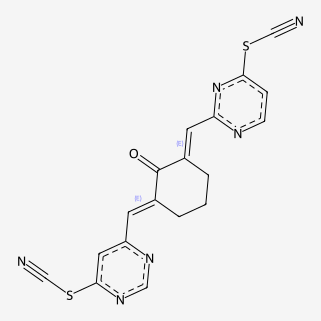 N#CSc1cc(/C=C2\CCC/C(=C\c3nccc(SC#N)n3)C2=O)ncn1